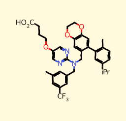 Cc1cc(CN(Cc2cc3c(cc2-c2cc(C(C)C)ccc2C)OCCO3)c2ncc(OCCCC(=O)O)cn2)cc(C(F)(F)F)c1